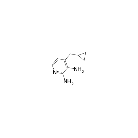 Nc1nccc(CC2CC2)c1N